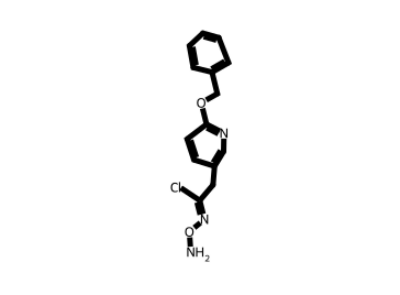 NO/N=C(\Cl)Cc1ccc(OCc2ccccc2)nc1